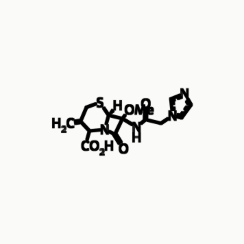 C=C1CS[C@H]2N(C(=O)C2(NC(=O)Cn2ccnc2)OC)C1C(=O)O